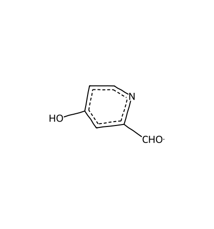 O=[C]c1cc(O)ccn1